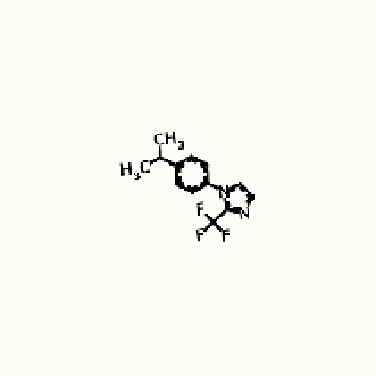 CC(C)c1ccc(-n2ccnc2C(F)(F)F)cc1